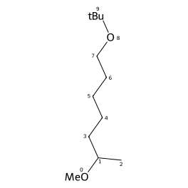 COC(C)CCCCCOC(C)(C)C